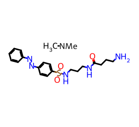 CNC.NCCCC(=O)NCCCNS(=O)(=O)c1ccc(N=Nc2ccccc2)cc1